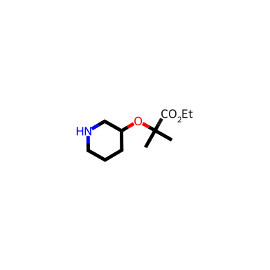 CCOC(=O)C(C)(C)OC1CCCNC1